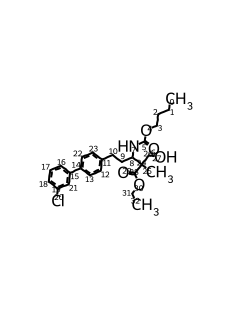 CCCCOC(=O)NC(CCc1ccc(-c2cccc(Cl)c2)cc1)C(C)(CO)C(=O)OCC